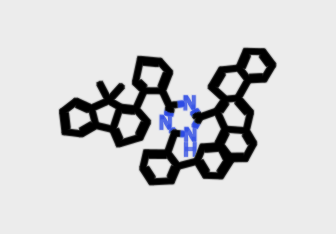 CC1(C)c2ccccc2-c2cccc(-c3ccccc3C3=NC(c4ccccc4-c4ccccc4)NC(c4c5ccccc5cc5c4ccc4ccccc45)=N3)c21